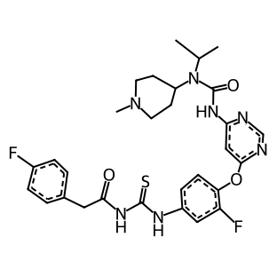 CC(C)N(C(=O)Nc1cc(Oc2ccc(NC(=S)NC(=O)Cc3ccc(F)cc3)cc2F)ncn1)C1CCN(C)CC1